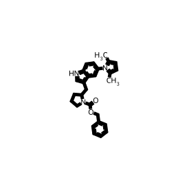 Cc1ccc(C)n1-c1ccc2[nH]cc(CC3CCCN3C(=O)OCc3ccccc3)c2c1